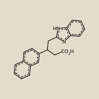 O=C(O)CC(Cc1nc2ccccc2[nH]1)c1ccc2ccccc2c1